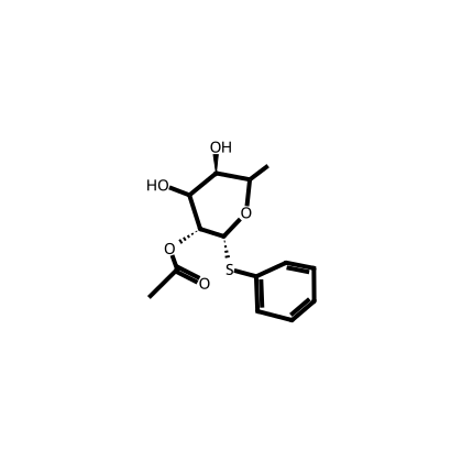 CC(=O)O[C@@H]1C(O)[C@@H](O)C(C)O[C@@H]1Sc1ccccc1